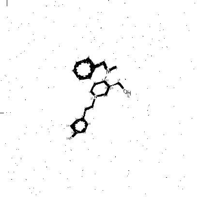 CN(Cc1ccccc1)[C@H]1CCN(CCc2ccc(F)cc2)C[C@@H]1CO